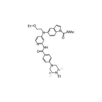 CCOCCN(c1ccnc(NC(=O)c2ccc(N3C[C@@H](C)N(CC)[C@@H](C)C3)cc2)c1)c1ccc2c(ccn2C(=O)NC)c1